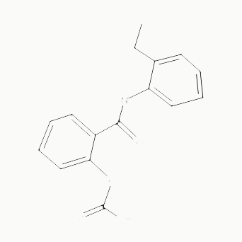 CCc1ccccc1NC(=O)c1ccccc1OC(C)=O